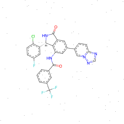 O=C(Nc1cc(-c2ccc3ncnn3c2)cc2c1[C@H](c1cc(F)ccc1Cl)NC2=O)c1cccc(C(F)(F)F)c1